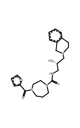 O=C(NC[C@H](O)CN1CCc2ccccc2C1)N1CCCN(C(=O)c2cccs2)CC1